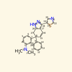 CN(C)c1cccc(C2(c3ccccc3)C=Cc3c(-c4cncs4)n[nH]c3C2)c1